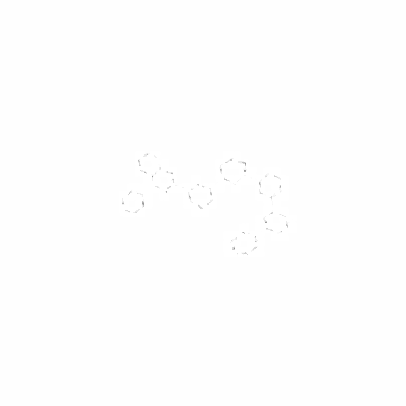 c1ccc(-c2cccc(-c3cccc(-c4cccc(-c5cccc(-c6cc7ccccc7c(-c7ccccc7)n6)c5)c4)c3)c2)cc1